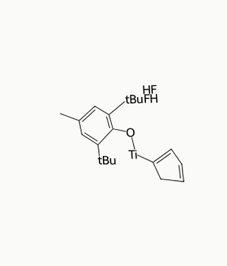 Cc1cc(C(C)(C)C)c([O][Ti][C]2=CC=CC2)c(C(C)(C)C)c1.F.F